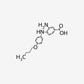 CCCCOc1ccc(Nc2ccc(C(=O)O)cc2N)cc1